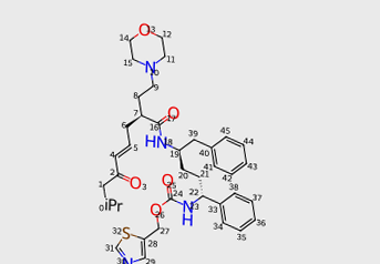 CC(C)CC(=O)/C=C/C[C@@H](CCN1CCOCC1)C(=O)N[C@H](CC[C@@H](NC(=O)OCc1cncs1)c1ccccc1)Cc1ccccc1